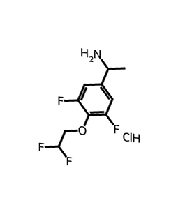 CC(N)c1cc(F)c(OCC(F)F)c(F)c1.Cl